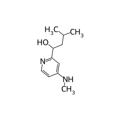 CNc1ccnc(C(O)CC(C)C)c1